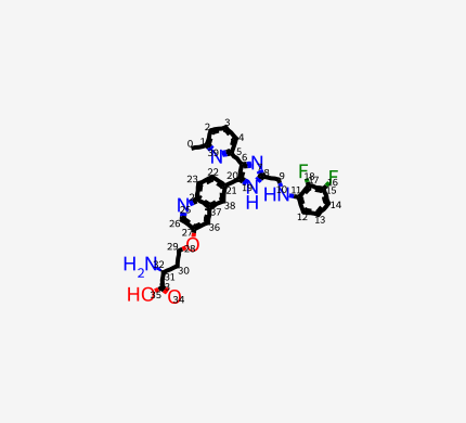 Cc1cccc(-c2nc(CNc3cccc(F)c3F)[nH]c2-c2ccc3ncc(OCC[C@H](N)C(=O)O)cc3c2)n1